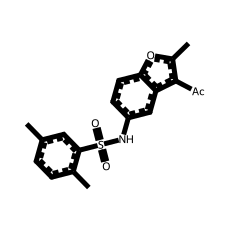 CC(=O)c1c(C)oc2ccc(NS(=O)(=O)c3cc(C)ccc3C)cc12